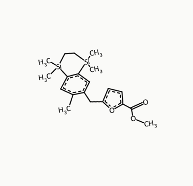 COC(=O)c1ccc(Cc2cc3c(cc2C)[Si](C)(C)CC[Si]3(C)C)o1